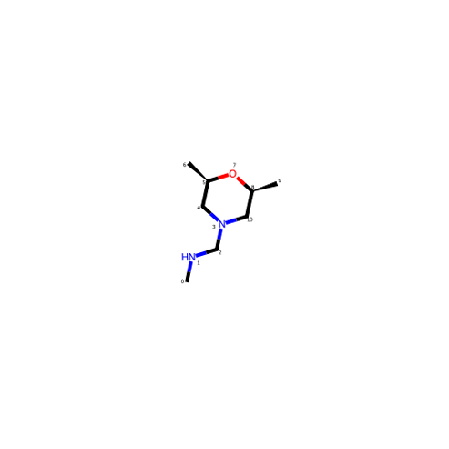 CNCN1C[C@@H](C)O[C@@H](C)C1